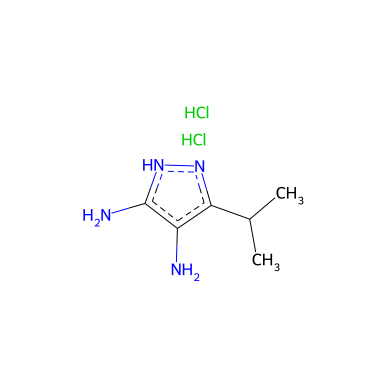 CC(C)c1n[nH]c(N)c1N.Cl.Cl